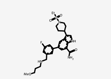 CCS(=O)(=O)N1CCC(c2c[nH]c3c(C(N)=O)cc(-c4cc(F)cc(CNCCCOC)c4)cc23)CC1